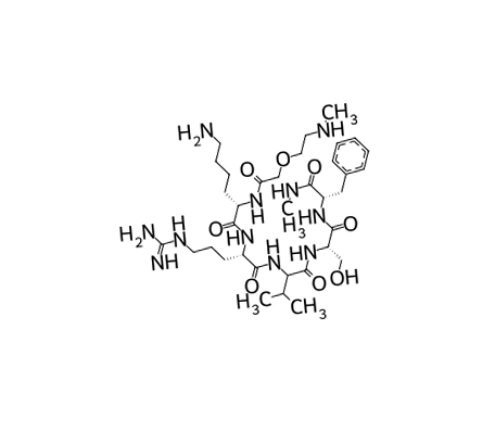 CNCCOCC(=O)N[C@@H](CCCCN)C(=O)N[C@@H](CCCNC(=N)N)C(=O)NC(C(=O)N[C@@H](CO)C(=O)N[C@@H](Cc1ccccc1)C(=O)NC)C(C)C